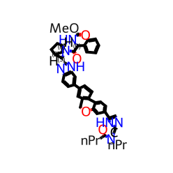 CCCC(=O)N(CCC)Cc1ncc(-c2ccc3c(c2)OCc2cc(-c4ccc5nc([C@@H]6[C@H]7CC[C@H](C7)N6C(=O)[C@H](NC(=O)OC)c6ccccc6)[nH]c5c4)ccc2-3)[nH]1